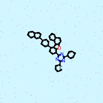 c1ccc(-c2nc(-c3ccccc3)nc(-c3ccc(-c4ccc(-c5ccc6ccccc6c5)cc4)c4c3oc3ccc5ccccc5c34)n2)cc1